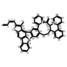 C=C/C=C\c1sc2cc3c4ccccc4n4c5cc6c(cc5c(c2c1C)c34)-c1cccc[n+]1C(=C)C1C(CC6)c2ccccc2-c2cccc[n+]21